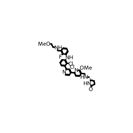 COCCNCc1cccc(Nc2cccc(-c3nccc(-c4ccc(CNC[C@@H]5CCC(=O)N5)c(OC)n4)c3Cl)c2Cl)c1F